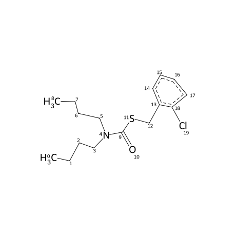 CCCCN(CCCC)C(=O)SCc1ccccc1Cl